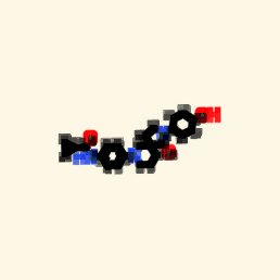 O=C(Nc1ccc(N2CCCC3(CCN(C4CCC(O)CC4)C3=O)C2)cc1)C1CC1